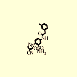 Cc1cccc(CC(=O)Nc2ccc(-n3cc(C#N)cn3)c(S(N)(=O)=O)c2)c1